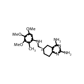 COc1cc(NC[C@@H]2CCc3nc(N)nc(N)c3C2)c(C)c(OC)c1OC